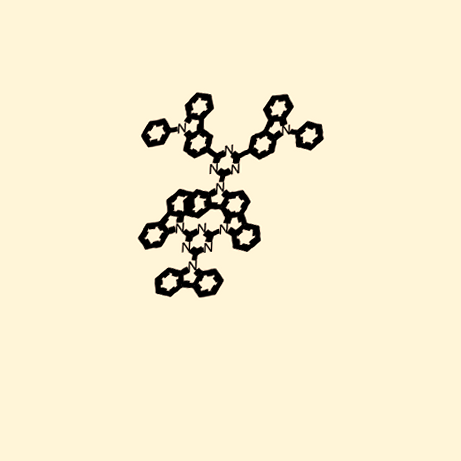 c1ccc(-n2c3ccccc3c3cc(-c4nc(-c5ccc6c(c5)c5ccccc5n6-c5ccccc5)nc(-n5c6ccccc6c6c5ccc5c7ccccc7n(-c7nc(-n8c9ccccc9c9ccccc98)nc(-n8c9ccccc9c9ccccc98)n7)c56)n4)ccc32)cc1